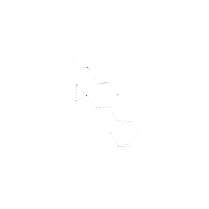 CC(C)(C)OC(=O)N1CCN(c2nc(Cl)ccc2F)CC12CC2